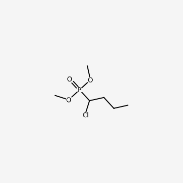 CCCC(Cl)P(=O)(OC)OC